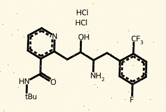 CC(C)(C)NC(=O)c1cccnc1CC(O)C(N)Cc1cc(F)ccc1C(F)(F)F.Cl.Cl